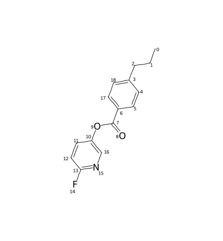 CCCc1ccc(C(=O)Oc2ccc(F)nc2)cc1